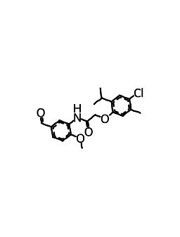 COc1ccc(C=O)cc1NC(=O)COc1cc(C)c(Cl)cc1C(C)C